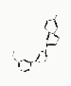 COc1cc(-c2nc(-c3ccc4cc(C)ccc4n3)no2)ccn1